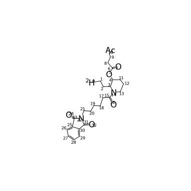 [2H]CCC1C(OC(=O)CCC(C)=O)CCCN1C(=O)CCCCCN1C(=O)c2ccccc2C1=O